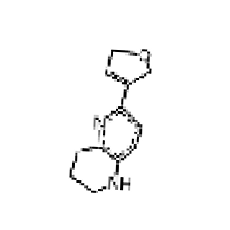 C1=C(c2ccc3c(n2)CCCN3)COC1